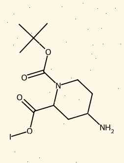 CC(C)(C)OC(=O)N1CCC(N)CC1C(=O)OI